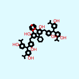 CC(C)c1cc(C(c2ccc(O)c(C(C)C)c2)c2cc(Cc3cc(C4(c5cc(Cc6ccc(O)c(C(c7ccc(O)c(C(C)C)c7)c7ccc(O)c(C(C)C)c7)c6)c(O)c(C6CCCCC6)c5)CCCCC4)cc(C4CCCCC4)c3O)ccc2O)ccc1O